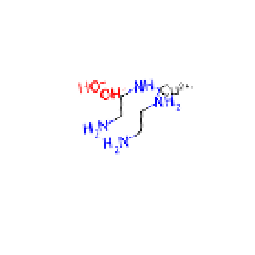 NCCN.NCCN.[Cu+2].[OH-].[OH-]